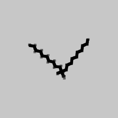 CCCCCCCCCCC(C)([O])CCCCCCCCCC